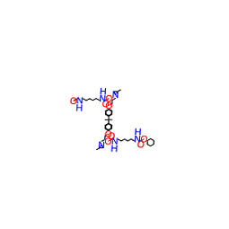 CC1CN1CC(COc1ccc(C(C)(C)c2ccc(OCC(CN3CC3C)OC(=O)NCCCCCCNC(=O)OC3CCCCC3)cc2)cc1)OC(=O)NCCCCCCNC=O